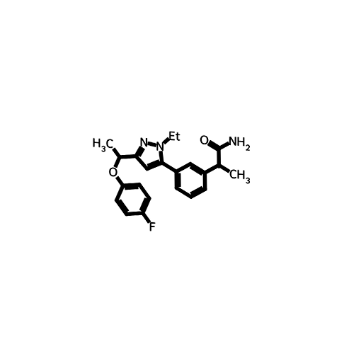 CCn1nc(C(C)Oc2ccc(F)cc2)cc1-c1cccc([C](C)C(N)=O)c1